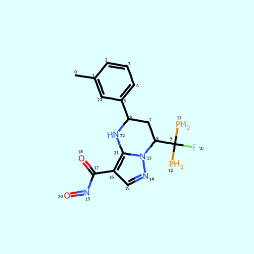 Cc1cccc(C2CC(C(F)(P)P)n3ncc(C(=O)N=O)c3N2)c1